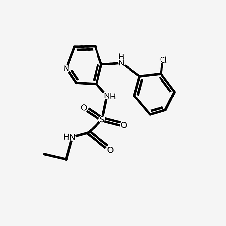 CCNC(=O)S(=O)(=O)Nc1cnccc1Nc1ccccc1Cl